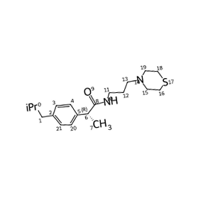 CC(C)Cc1ccc([C@@H](C)C(=O)NCCCN2CCSCC2)cc1